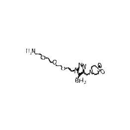 Bc1c(CN2CCS(=O)(=O)CC2)nnn1CCOCCOCCOCCN